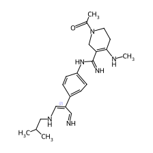 CNC1=C(C(=N)Nc2ccc(/C(C=N)=C/NCC(C)C)cc2)CN(C(C)=O)CC1